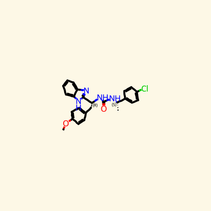 COc1ccc(C[C@@H](NC(=O)N[C@@H](C)c2ccc(Cl)cc2)c2nc3ccccc3[nH]2)cc1